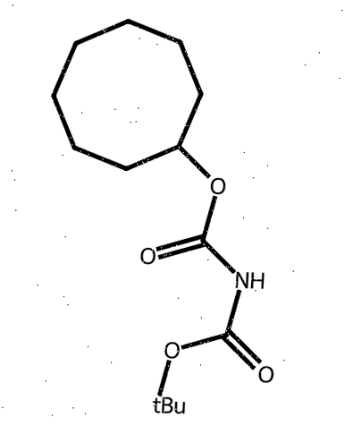 CC(C)(C)OC(=O)NC(=O)OC1CCCCCCC1